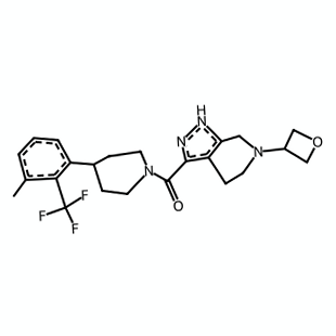 Cc1cccc(C2CCN(C(=O)c3n[nH]c4c3CCN(C3COC3)C4)CC2)c1C(F)(F)F